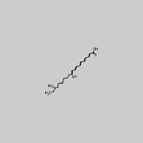 CCC(O)CCCCCC/C(O)=C/C=C/C=C/C=C/C=C/C(=O)O